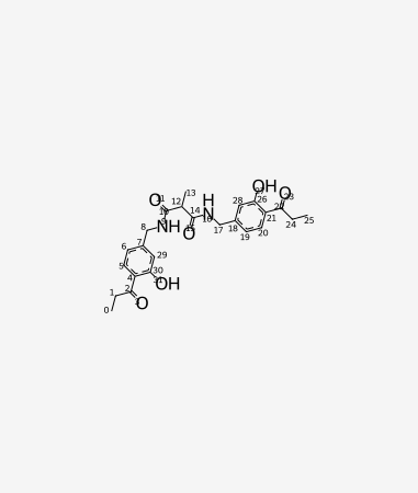 CCC(=O)c1ccc(CNC(=O)C(C)C(=O)NCc2ccc(C(=O)CC)c(O)c2)cc1O